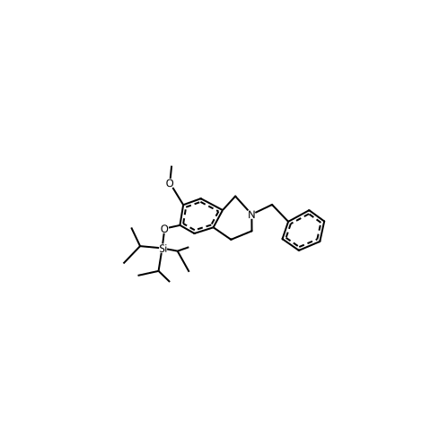 COc1cc2c(cc1O[Si](C(C)C)(C(C)C)C(C)C)CCN(Cc1ccccc1)C2